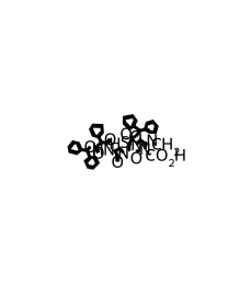 C=NC1CN([C@]2(C(=O)OC(c3ccccc3)c3ccccc3)CN3C(=O)[C@@H](NC(=O)C(C(=O)OC(c4ccccc4)c4ccccc4)c4ccccc4)[C@H]3S2)C(=O)N1C(=O)O